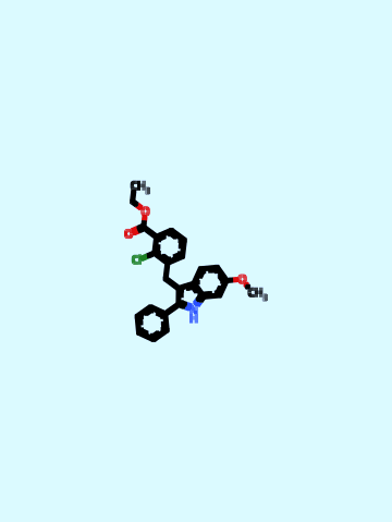 CCOC(=O)c1cccc(Cc2c(-c3ccccc3)[nH]c3cc(OC)ccc23)c1Cl